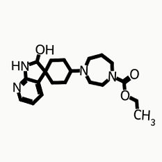 CCOC(=O)N1CCCN(C2CCC3(CC2)c2cccnc2NC3O)CC1